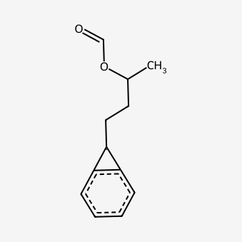 CC(CC[C]1c2ccccc21)OC=O